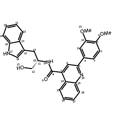 COc1ccc(-c2cc(C(=O)N[C@H](CO)Cc3c[nH]c4ccccc34)c3ccccc3n2)cc1OC